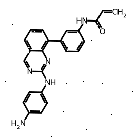 C=CC(=O)Nc1cccc(-c2cccc3cnc(Nc4ccc(N)cc4)nc23)c1